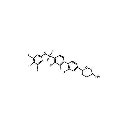 CCCC1CCC(c2ccc(-c3ccc(C(F)(F)Oc4cc(F)c(F)c(F)c4)c(F)c3F)c(F)c2)OC1